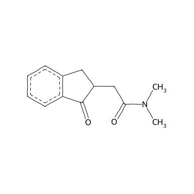 CN(C)C(=O)CC1Cc2ccccc2C1=O